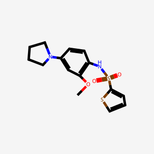 COc1cc(N2CCCC2)ccc1NS(=O)(=O)c1cccs1